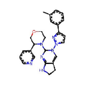 Cc1cccc(-c2ccn(N3C=C4CCNC4=NC3N3CCOCC3c3cccnc3)n2)c1